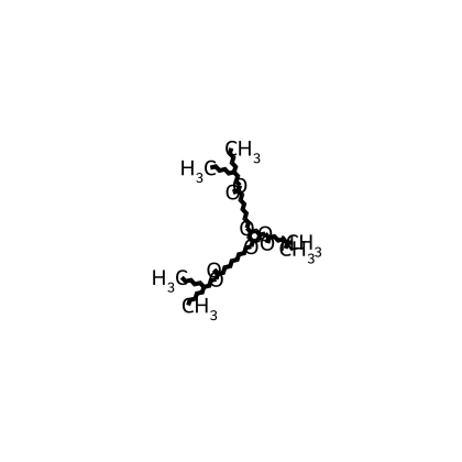 CCCCCC(CCCCC)CCOC(=O)CCCCCCCCOC1CC(OCCCCCCCC(=O)OCCC(CCCCC)CCCCC)CC(OC(=O)CCCN(C)C)C1